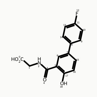 O=C(O)CNC(=O)c1cc(-c2ccc(F)cc2)ccc1O